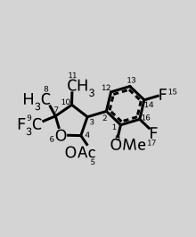 COc1c(C2C(OC(C)=O)OC(C)(C(F)(F)F)C2C)ccc(F)c1F